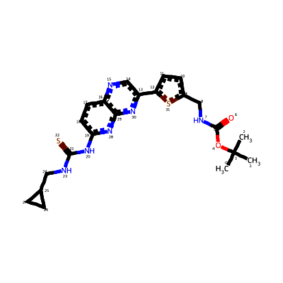 CC(C)(C)OC(=O)NCc1ccc(-c2cnc3ccc(NC(=S)NCC4CC4)nc3n2)s1